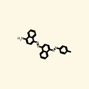 Cc1ccc(/N=N/c2ccc(/N=N/c3ccc(N)c4ccccc34)c3ccccc23)cc1